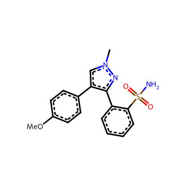 COc1ccc(-c2cn(C)nc2-c2ccccc2S(N)(=O)=O)cc1